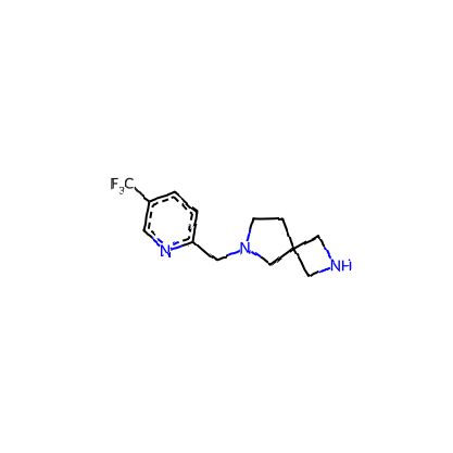 FC(F)(F)c1ccc(CN2CCC3(CNC3)C2)nc1